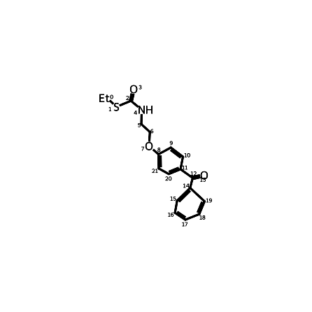 CCSC(=O)NCCOc1ccc(C(=O)c2ccccc2)cc1